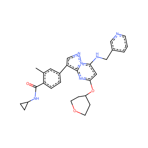 Cc1cc(-c2cnn3c(NCc4cccnc4)cc(OC4CCOCC4)nc23)ccc1C(=O)NC1CC1